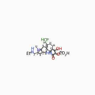 CCNCc1cc2cc3c(cc2n1C)C(C)CCc1c-3[nH]c(=O)c(OC(=O)O)c1O.Cl